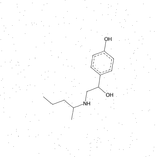 CCCC(C)NCC(O)c1ccc(O)cc1